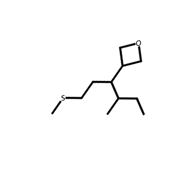 CCC(C)C(CCSC)C1COC1